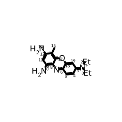 CC[N+](CC)=c1ccc2nc3c(N)cc(N)c(C)c3oc-2c1